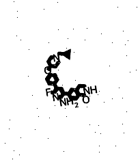 Nc1nc(F)c(-c2ccc(OC3CCN(CC4CC4)CC3)cc2)cc1-c1ccc2c(c1)CCNC2=O